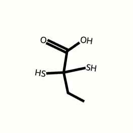 CCC(S)(S)C(=O)O